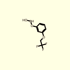 OBOc1cccc(OCC(F)(F)F)c1